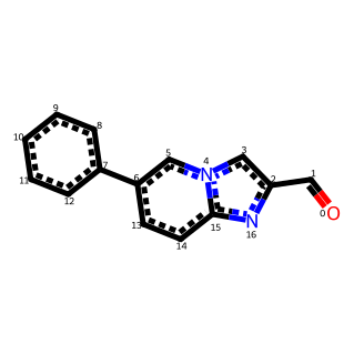 O=Cc1cn2cc(-c3ccccc3)ccc2n1